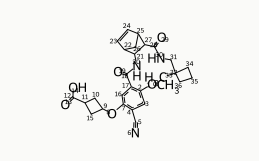 COc1cc(C#N)c(OC2CC(C(=O)O)C2)cc1C(=O)NC1C2C=CC(C2)C1C(=O)NCC1(C)CCC1